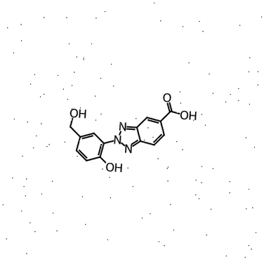 O=C(O)c1ccc2nn(-c3cc(CO)ccc3O)nc2c1